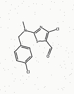 CN(Cc1ccc(Cl)cc1)c1nc(Cl)c(C=O)s1